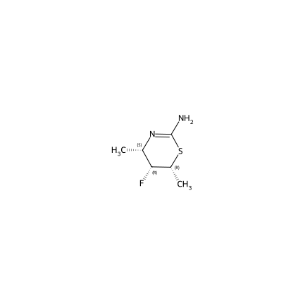 C[C@@H]1N=C(N)S[C@H](C)[C@@H]1F